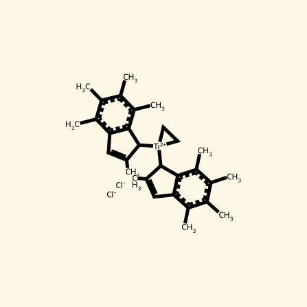 CC1=Cc2c(C)c(C)c(C)c(C)c2[CH]1[Ti+2]1([CH]2C(C)=Cc3c(C)c(C)c(C)c(C)c32)[CH2][CH2]1.[Cl-].[Cl-]